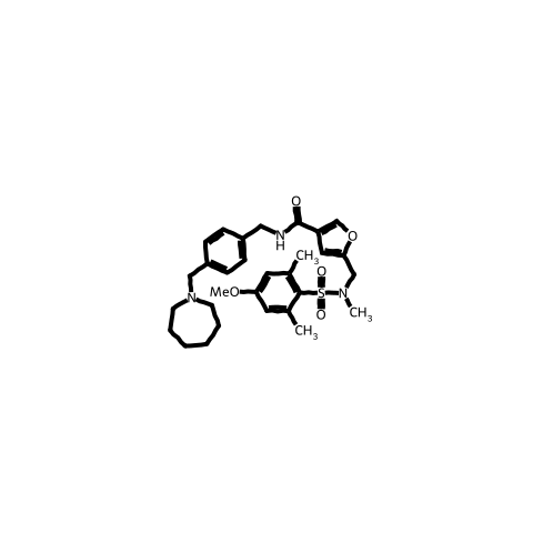 COc1cc(C)c(S(=O)(=O)N(C)Cc2cc(C(=O)NCc3ccc(CN4CCCCCC4)cc3)co2)c(C)c1